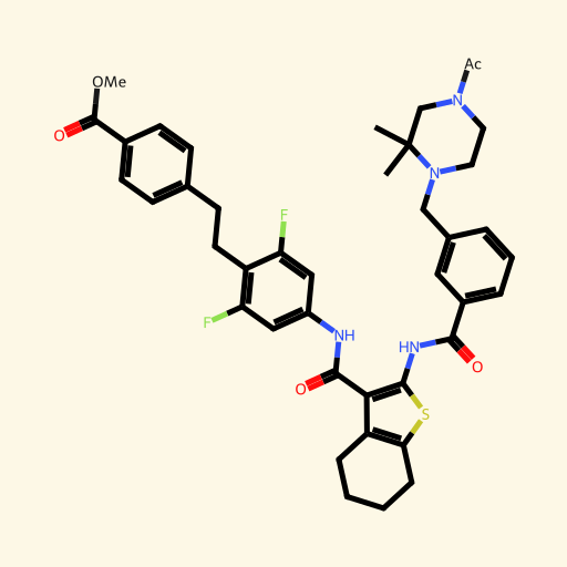 COC(=O)c1ccc(CCc2c(F)cc(NC(=O)c3c(NC(=O)c4cccc(CN5CCN(C(C)=O)CC5(C)C)c4)sc4c3CCCC4)cc2F)cc1